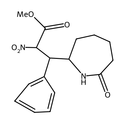 COC(=O)C(C(c1ccccc1)C1CCCCC(=O)N1)[N+](=O)[O-]